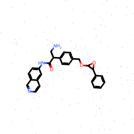 NCC(C(=O)Nc1ccc2cnccc2c1)c1ccc(COC2OC2c2ccccc2)cc1